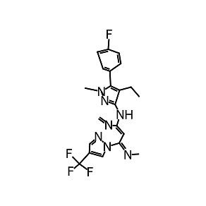 C=N/C(=C\C(=N/C)n1cc(C(F)(F)F)cn1)Nc1nn(C)c(-c2ccc(F)cc2)c1CC